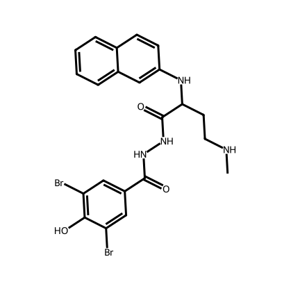 CNCCC(Nc1ccc2ccccc2c1)C(=O)NNC(=O)c1cc(Br)c(O)c(Br)c1